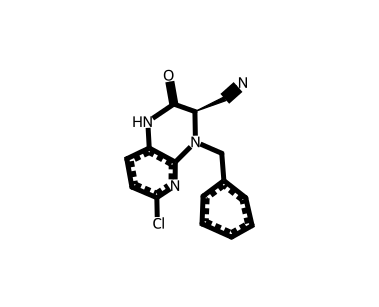 N#C[C@@H]1C(=O)Nc2ccc(Cl)nc2N1Cc1ccccc1